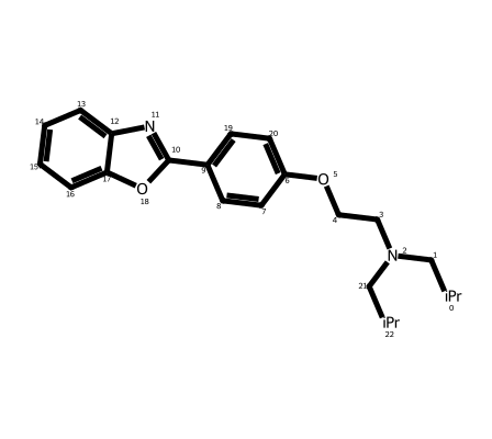 CC(C)CN(CCOc1ccc(-c2nc3cc[c]cc3o2)cc1)CC(C)C